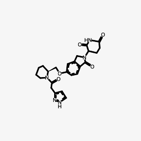 O=C1CCC(N2Cc3cc(OC[C@@H]4CCCCN4C(=O)Cc4cc[nH]n4)ccc3C2=O)C(=O)N1